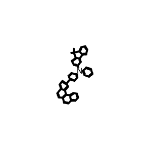 CC1(C)c2ccccc2-c2cc(N(c3ccccc3)c3ccc(-c4ccc5ccc6ccc7ccccc7c6c5c4)cc3)ccc21